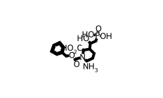 N.O=C(O)C1C(C(O)CP(=O)(O)O)CCCN1C(=O)OCc1ccccc1